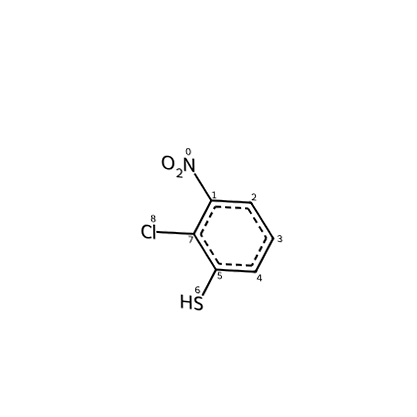 O=[N+]([O-])c1cccc(S)c1Cl